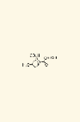 CCCCCCCCOC(=O)C1C2CC(C)C(C2)C1C(=O)O